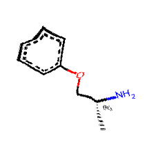 C[C@@H](N)COc1ccccc1